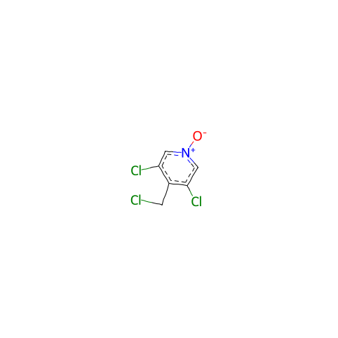 [O-][n+]1cc(Cl)c(CCl)c(Cl)c1